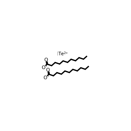 CCCCCCCCCCC(=O)[O-].CCCCCCCCCCC(=O)[O-].[Te+2]